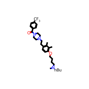 CCCCN(C)CCCCOc1ccc(CCN2CCN(C(=O)c3ccc(C(F)(F)F)cc3)CC2)c(C)c1C